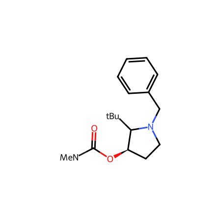 CNC(=O)O[C@@H]1CCN(Cc2ccccc2)C1C(C)(C)C